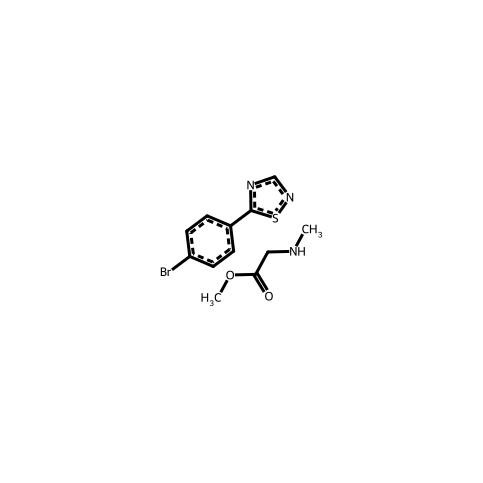 Brc1ccc(-c2ncns2)cc1.CNCC(=O)OC